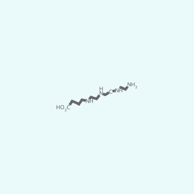 NCCNCCNCCNCCCC(=O)O